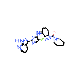 O=C(N[C@@H]1CCC[C@H](Nc2nc(-c3n[nH]c4ncccc34)ncc2F)C1)N1CCCCC1